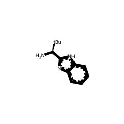 CC(C)(C)[C@H](N)c1nc2ccccc2[nH]1